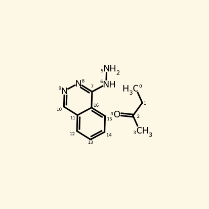 CCC(C)=O.NNc1nncc2ccccc12